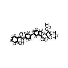 CC(C)C(C(=O)O)N1Cc2ccc(-c3ccc(NC(=O)c4ccccc4Cl)cc3)cc2C1=O